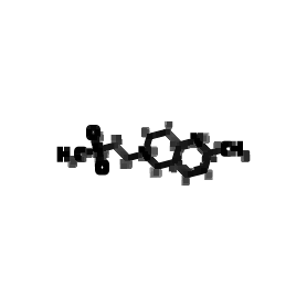 Cc1ccc2c(n1)CCN(CCS(C)(=O)=O)C2